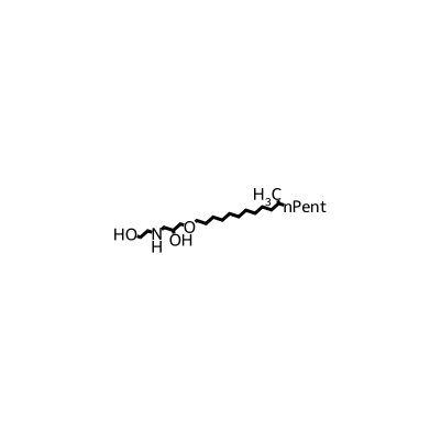 CCCCCC(C)CCCCCCCCCCOCC(O)CNCCO